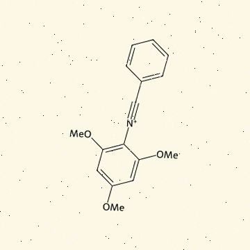 COc1cc(OC)c([N+]#Cc2ccccc2)c(OC)c1